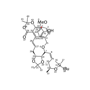 COc1ccc(COC(/C=C\[C@@H](C)[C@H](C)O[Si](C)(C)C(C)(C)C)[C@H]2OC(C)(C)O[C@H]2C/C=C/c2cc(O)cc3c2C(=O)OC(C)(C)O3)cc1